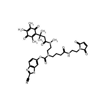 CC1=C(C)C(=O)C(C(C)(C)CC(=O)N(C)CCN(CCCC(=O)NCCN2C(=O)C=CC2=O)C(=O)Oc2ccc3nc(C#N)sc3c2)=C(C)C1=O